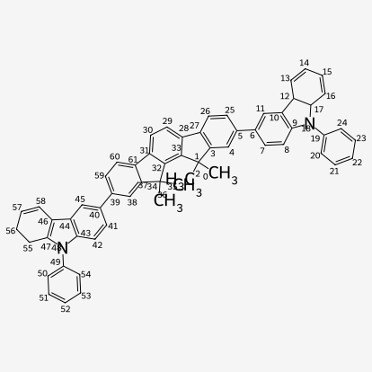 CC1(C)c2cc(-c3ccc4c(c3)C3C=CC=CC3N4c3ccccc3)ccc2-c2ccc3c(c21)C(C)(C)c1cc(-c2ccc4c(c2)c2c(n4-c4ccccc4)CCC=C2)ccc1-3